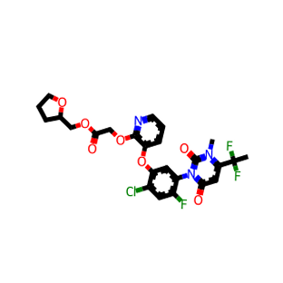 Cn1c(C(C)(F)F)cc(=O)n(-c2cc(Oc3cccnc3OCC(=O)OCC3CCCO3)c(Cl)cc2F)c1=O